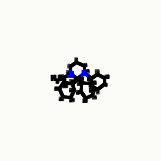 [SiH3]N1CCCN(C2CCCCC2)C1(C1CCCCC1)C1CCCCC1